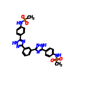 CS(=O)(=O)Nc1ccc(-c2nc(-c3cccc(-c4n[nH]c(-c5ccc(NS(C)(=O)=O)cc5)n4)c3)n[nH]2)cc1